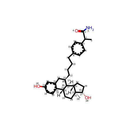 CC(C(N)=O)c1ccc(CCCC[C@@H]2Cc3cc(O)ccc3[C@H]3CC[C@]4(C)[C@@H](O)CC[C@H]4[C@H]23)cc1